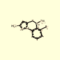 Cc1cc2n(n1)-c1cccc(Br)c1N(C)C2